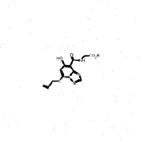 C=CCSc1cc(O)c(C(=O)NCC(=O)O)c2ncnn12